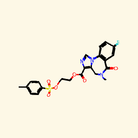 Cc1ccc(S(=O)(=O)OCCOC(=O)c2ncn3c2CN(C)C(=O)c2cc(F)ccc2-3)cc1